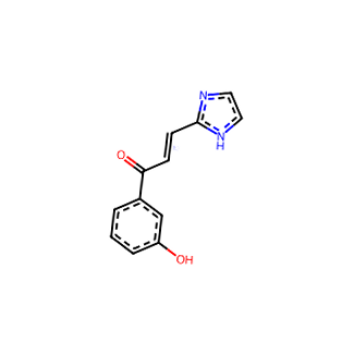 O=C(/C=C/c1ncc[nH]1)c1cccc(O)c1